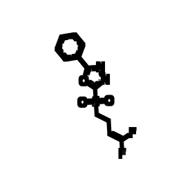 O=S(=O)(CCC=C(F)F)c1nnc(-c2ccccc2)o1